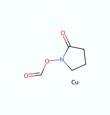 O=CON1CCCC1=O.[Cu]